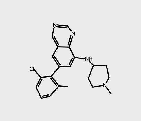 Cc1cccc(Cl)c1-c1cc(NC2CCN(C)CC2)c2ncncc2c1